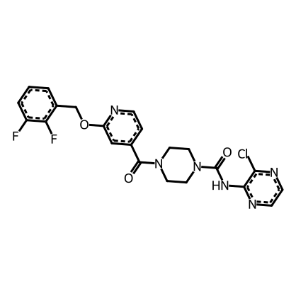 O=C(Nc1nccnc1Cl)N1CCN(C(=O)c2ccnc(OCc3cccc(F)c3F)c2)CC1